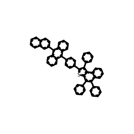 c1ccc(-c2c(-c3ccccc3)c3sc(-c4ccc(-c5c6ccccc6c(-c6ccc7ccccc7c6)c6ccccc56)cc4)c(-c4ccccc4)c3c3ccccc23)cc1